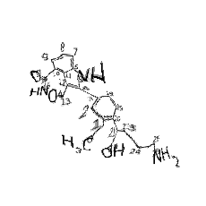 Cc1cc(-c2[nH]c3cccc4c3c2CONC4=O)ccc1C(O)CCCN